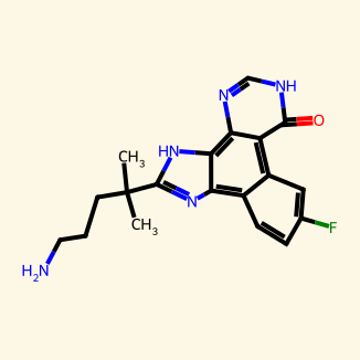 CC(C)(CCCN)c1nc2c3ccc(F)cc3c3c(=O)[nH]cnc3c2[nH]1